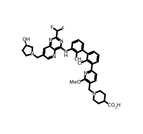 COc1nc(-c2cccc(-c3cccc(Nc4nc(C(F)F)nc5cc(CN6CC[C@@H](O)C6)cnc45)c3C)c2Cl)ccc1CN1CCC(C(=O)O)CC1